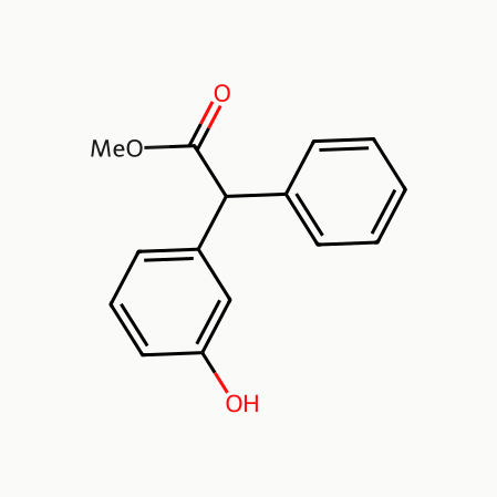 COC(=O)C(c1ccccc1)c1cccc(O)c1